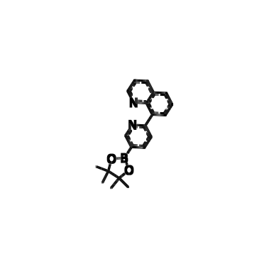 CC1(C)OB(c2ccc(-c3cccc4cccnc34)nc2)OC1(C)C